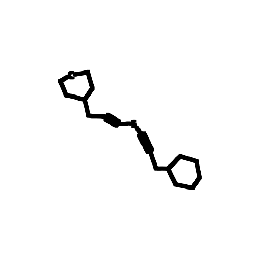 C(#CSC#CCC1CCCCC1)CC1CCCCC1